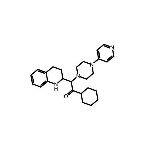 O=C(C1CCCCC1)C(C1CCc2ccccc2N1)N1CCN(c2ccncc2)CC1